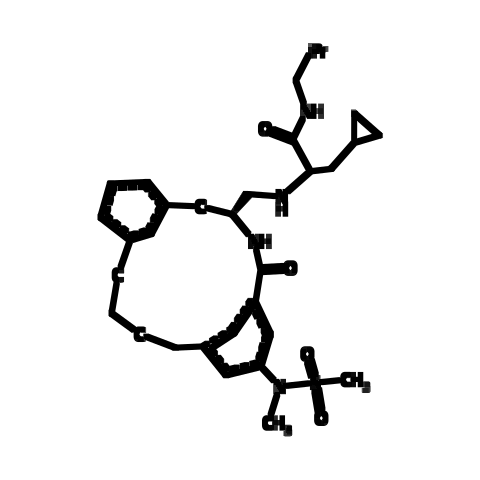 CC(C)CNC(=O)C(CC1CC1)NC[C@@H]1Cc2cccc(c2)CCCCc2cc(cc(N(C)S(C)(=O)=O)c2)C(=O)N1